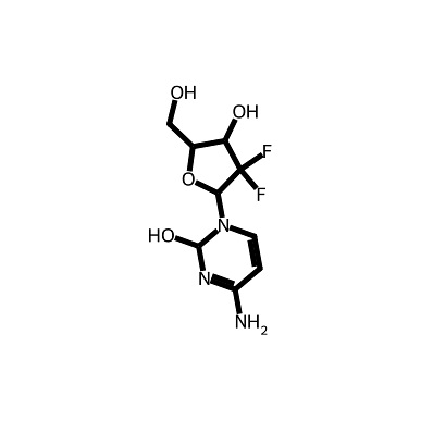 NC1=NC(O)N(C2OC(CO)C(O)C2(F)F)C=C1